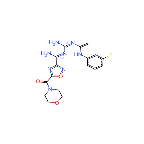 C=C(/N=C(N)\N=C(/N)c1noc(C(=O)N2CCOCC2)n1)Nc1cccc(F)c1